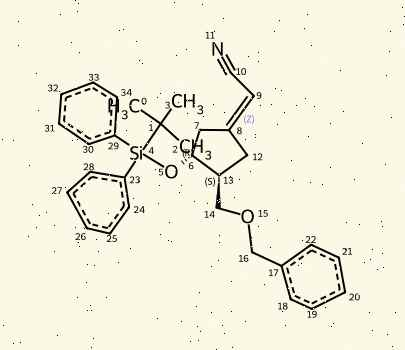 CC(C)(C)[Si](O[C@@H]1C/C(=C\C#N)C[C@H]1COCc1ccccc1)(c1ccccc1)c1ccccc1